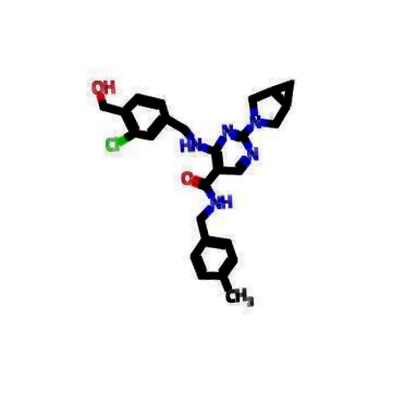 Cc1ccc(CNC(=O)c2cnc(N3CC4CC4C3)nc2NCc2ccc(CO)c(Cl)c2)cc1